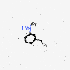 CC(C)Cc1cccc(NC(C)C)c1